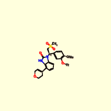 CCOc1cc([C@H](CS(C)(=O)=O)n2c(=O)[nH]c3c(C4=CCOCC4)cccc32)ccc1OC